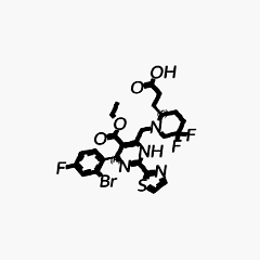 CCOC(=O)C1=C(CN2CC(F)(F)CC[C@@H]2CCC(=O)O)NC(c2nccs2)=N[C@H]1c1ccc(F)cc1Br